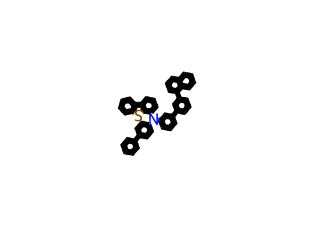 c1ccc(-c2ccc(N(c3cccc(-c4cccc(-c5cccc6ccccc56)c4)c3)c3cccc4c3sc3ccccc34)cc2)cc1